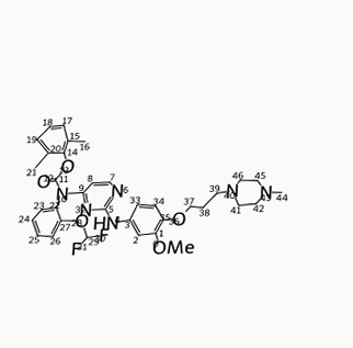 COc1cc(Nc2nccc(N(C(=O)Oc3c(C)cccc3C)c3ccccc3OC(F)F)n2)ccc1OCCCN1CCN(C)CC1